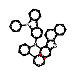 c1ccc(-c2ccccc2N(c2ccc3c4ccccc4n(-c4ccccc4)c3c2)c2cccc3sc4c5ccccc5ccc4c23)cc1